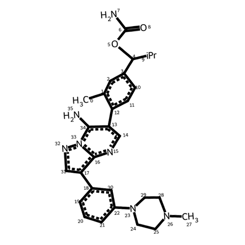 Cc1cc(C(OC(N)=O)C(C)C)ccc1-c1cnc2c(-c3cccc(N4CCN(C)CC4)c3)cnn2c1N